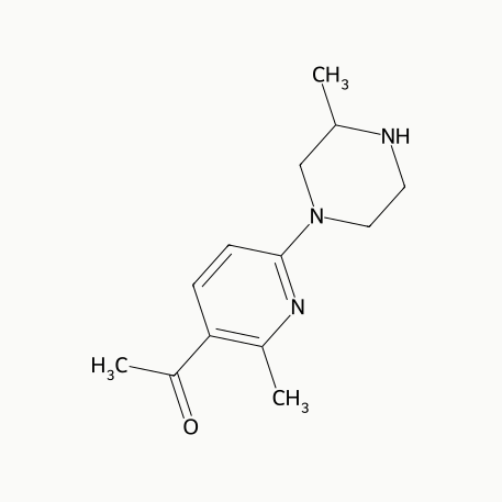 CC(=O)c1ccc(N2CCNC(C)C2)nc1C